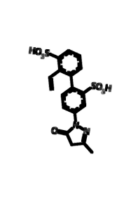 C=Cc1c(-c2ccc(N3N=C(C)CC3=O)cc2S(=O)(=O)O)cccc1S(=O)(=O)O